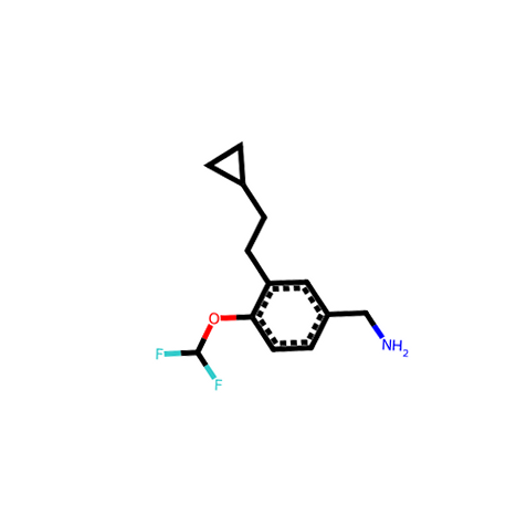 NCc1ccc(OC(F)F)c(CCC2CC2)c1